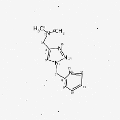 CN(C)Cc1cn(Cc2ccccn2)nn1